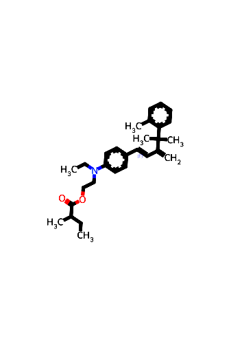 C=C(/C=C/c1ccc(N(CC)CCOC(=O)C(C)CC)cc1)C(C)(C)c1ccccc1C